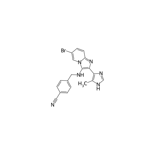 Cc1[nH]cnc1-c1nc2ccc(Br)cn2c1NCc1ccc(C#N)cc1